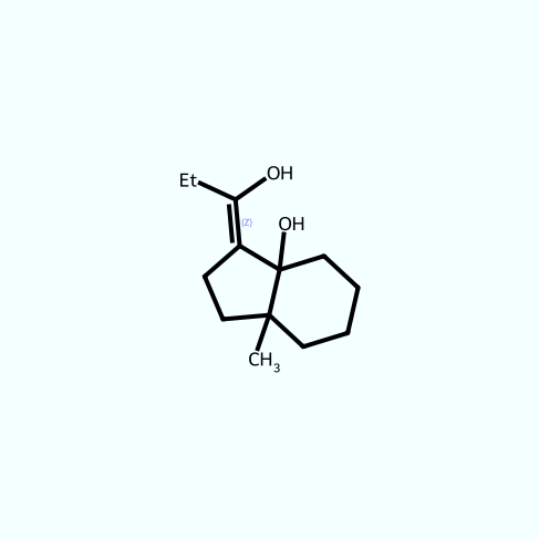 CC/C(O)=C1\CCC2(C)CCCCC12O